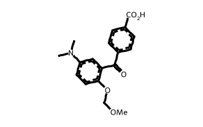 COCOc1ccc(N(C)C)cc1C(=O)c1ccc(C(=O)O)cc1